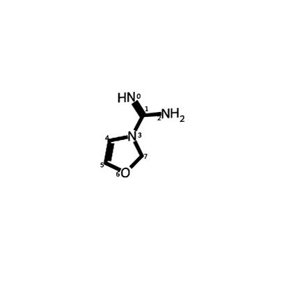 N=C(N)N1C=COC1